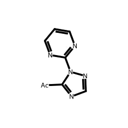 CC(=O)c1ncnn1-c1ncccn1